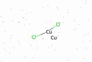 [Cl][Cu][Cl].[Cu]